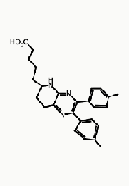 Cc1ccc(-c2nc3c(nc2-c2ccc(C)cc2)NC(CCCCC(=O)O)CC3)cc1